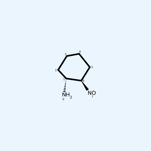 N[C@@H]1CCCC[C@H]1N=O